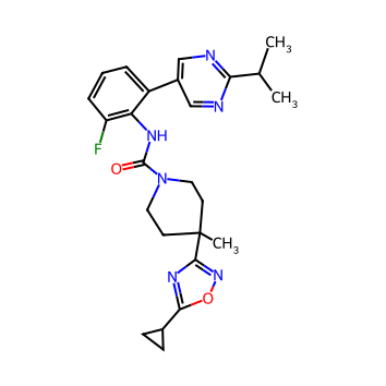 CC(C)c1ncc(-c2cccc(F)c2NC(=O)N2CCC(C)(c3noc(C4CC4)n3)CC2)cn1